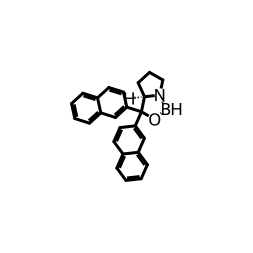 B1OC(c2ccc3ccccc3c2)(c2ccc3ccccc3c2)[C@H]2CCCN12